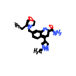 CC(C)CC1COCCN1Cc1ccc2c(-c3cnn(C)c3)cc(C(N)=O)nc2c1